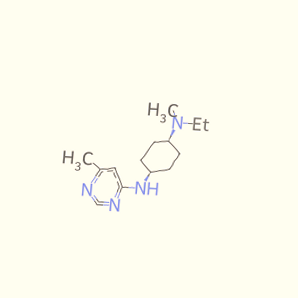 CCN(C)[C@H]1CC[C@@H](Nc2cc(C)ncn2)CC1